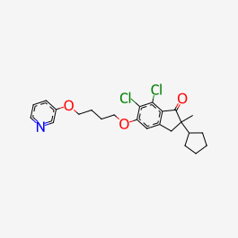 CC1(C2CCCC2)Cc2cc(OCCCCOc3cccnc3)c(Cl)c(Cl)c2C1=O